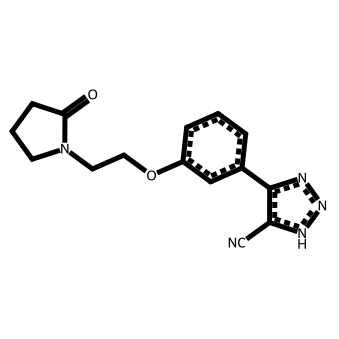 N#Cc1[nH]nnc1-c1cccc(OCCN2CCCC2=O)c1